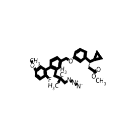 COC(=O)C[C@H](c1cccc(OCc2ccc(-c3cc(OC)ccc3F)c(CC(C)(C)CN=[N+]=[N-])c2)c1)C1CC1